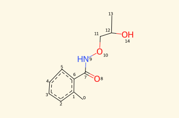 Cc1ccccc1C(=O)NOCC(C)O